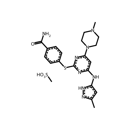 CS(=O)(=O)O.Cc1cc(Nc2cc(N3CCN(C)CC3)nc(Sc3ccc(C(N)=O)cc3)n2)[nH]n1